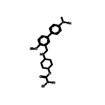 CCN(CC)C(=O)OC1CCC(NCc2cc(-c3ccc(N(C)C(C)=O)cc3)ccc2OC)CC1